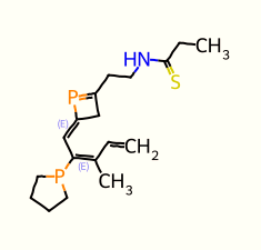 C=C/C(C)=C(\C=C1/CC(CCNC(=S)CC)=P1)P1CCCC1